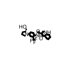 O=C(Nc1ccc(N2CCC[C@H]2CO)cc1C(F)(F)F)c1c[nH]c2ccccc2c1=O